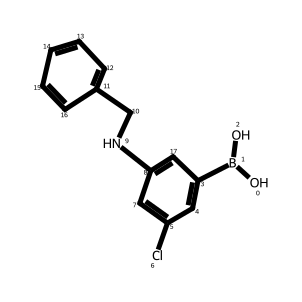 OB(O)c1cc(Cl)cc(NCc2ccccc2)c1